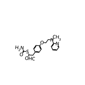 CN(CCOc1ccc(CC(C=O)SC(N)=O)cc1)c1ccccn1